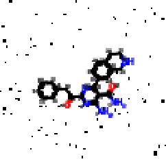 NC(=O)c1c(N)nc(C(=O)Cc2ccccc2)nc1-c1ccc2c(c1)CNCC2